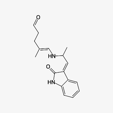 C/C(=C\NC(C)/C=C1\C(=O)Nc2ccccc21)CCC=O